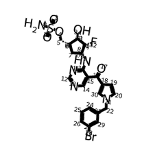 NS(=O)(=O)OC[C@H]1C[C@@H](Nc2ncncc2C(=O)c2ccn(Cc3cccc(Br)c3)c2)[C@@H](F)[C@@H]1O